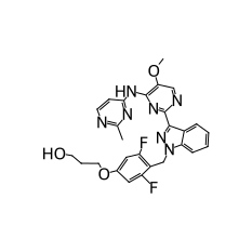 COc1cnc(-c2nn(Cc3c(F)cc(OCCCO)cc3F)c3ccccc23)nc1Nc1ccnc(C)n1